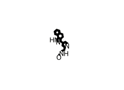 O=CNCCc1cc(-c2n[nH]c3c2CCc2ccccc2-3)ccn1